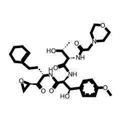 COc1ccc([C@@H](O)[C@H](NC(=O)[C@@H](NC(=O)CN2CCOCC2)[C@@H](C)O)C(=O)N[C@@H](CCC2=CCCCC2)C(=O)[C@H]2CO2)cc1